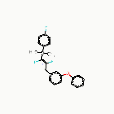 C[Si](C)(/C(F)=C(\F)Cc1cccc(Oc2ccccc2)c1)c1ccc(F)cc1